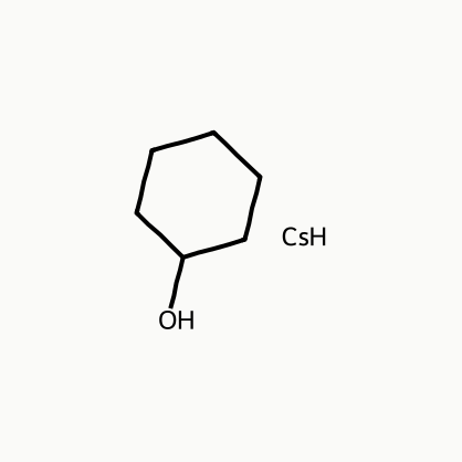 OC1CCCCC1.[CsH]